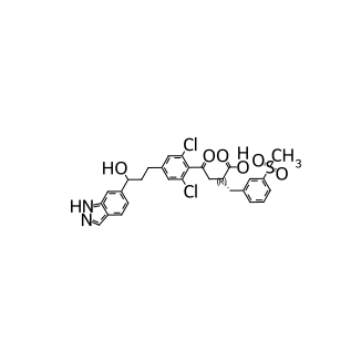 CS(=O)(=O)c1cccc(C[C@H](CC(=O)c2c(Cl)cc(CCC(O)c3ccc4cn[nH]c4c3)cc2Cl)C(=O)O)c1